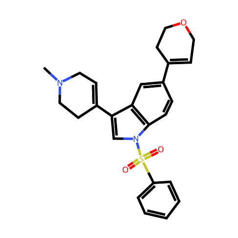 CN1CC=C(c2cn(S(=O)(=O)c3ccccc3)c3ccc(C4=CCOCC4)cc23)CC1